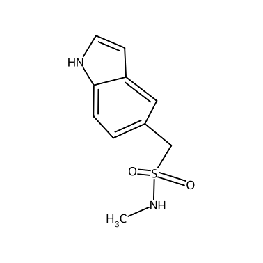 CNS(=O)(=O)Cc1ccc2[nH]ccc2c1